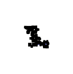 C\C=C/C(/C=C/C(=N/N)c1ccc(SC2=CCCC=C2C(=O)NC)cc1C)=N\C